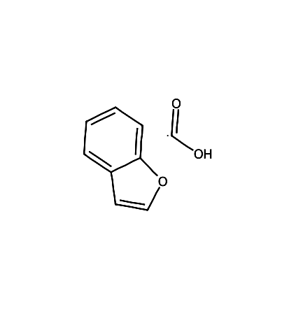 O=[C]O.c1ccc2occc2c1